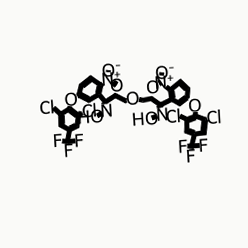 O=[N+]([O-])c1ccc(Oc2c(Cl)cc(C(F)(F)F)cc2Cl)cc1C(CCOCCC(=NO)c1cc(Oc2c(Cl)cc(C(F)(F)F)cc2Cl)ccc1[N+](=O)[O-])=NO